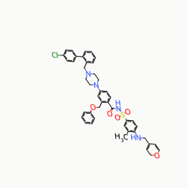 Cc1cc(S(=O)(=O)NC(=O)c2ccc(N3CCN(Cc4ccccc4-c4ccc(Cl)cc4)CC3)cc2COc2ccccc2)ccc1NCC1=CCOC=C1